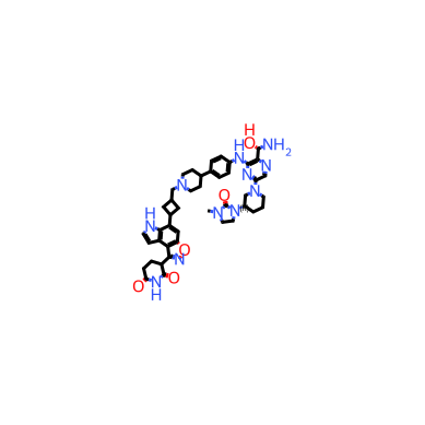 CN1CCN([C@@H]2CCCN(c3cnc(C(N)O)c(Nc4ccc(C5CCN(CC6CC(c7cc8onc(C9CCC(=O)NC9=O)c8c8cc[nH]c78)C6)CC5)cc4)n3)C2)C1=O